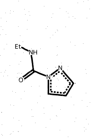 CCNC(=O)n1cc[c]n1